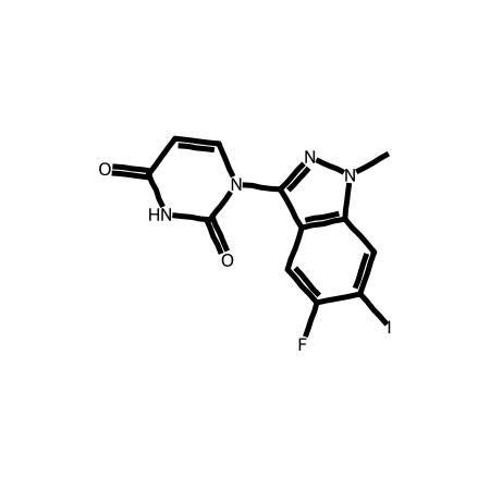 Cn1nc(-n2ccc(=O)[nH]c2=O)c2cc(F)c(I)cc21